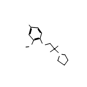 COc1cc(N)ccc1OCC(C)(C)N1CCCC1